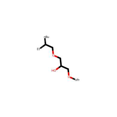 CCCCC(CC)COCC(O)COCCC